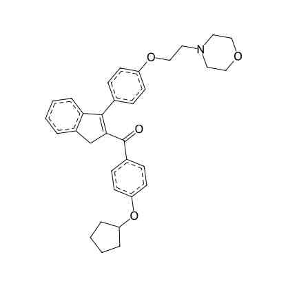 O=C(C1=C(c2ccc(OCCN3CCOCC3)cc2)c2ccccc2C1)c1ccc(OC2CCCC2)cc1